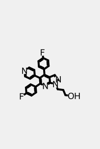 OCCCn1ncc2c(-c3ccc(F)cc3)c(-c3ccncc3)c(-c3ccc(F)cc3)nc21